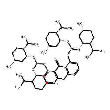 CC(C)C1CC[C@@H](C)C[C@H]1OP(Oc1cccc2c1C(=O)c1c(cccc1OP(O[C@@H]1C[C@H](C)CCC1C(C)C)O[C@@H]1C[C@H](C)CC[C@H]1C(C)C)C2)O[C@@H]1C[C@H](C)CC[C@H]1C(C)C